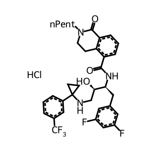 CCCCCN1CCc2c(C(=O)N[C@@H](Cc3cc(F)cc(F)c3)[C@H](O)CNC3(c4cccc(C(F)(F)F)c4)CC3)cccc2C1=O.Cl